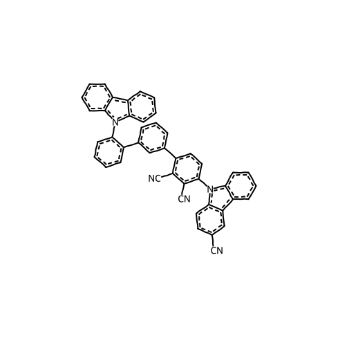 N#Cc1ccc2c(c1)c1ccccc1n2-c1ccc(-c2cccc(-c3ccccc3-n3c4ccccc4c4ccccc43)c2)c(C#N)c1C#N